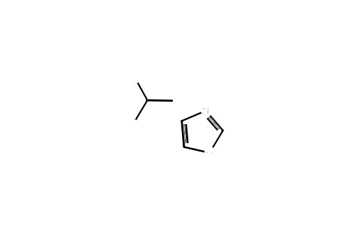 CC(F)Cl.c1cocn1